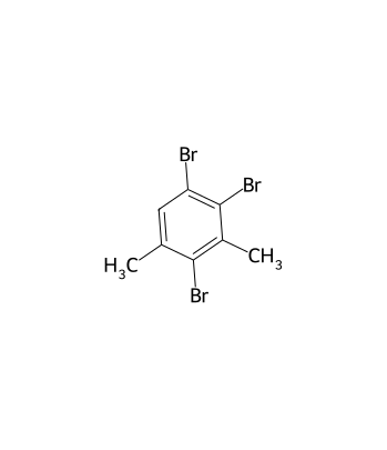 Cc1cc(Br)c(Br)c(C)c1Br